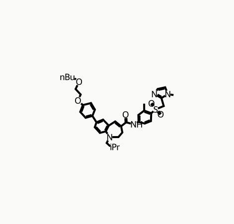 CCCCOCCOc1ccc(-c2ccc3c(c2)C=C(C(=O)Nc2ccc(S(=O)(=O)Cc4nccn4C)c(C)c2)CCN3CC(C)C)cc1